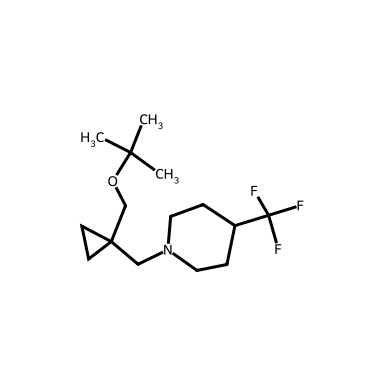 CC(C)(C)OCC1(CN2CCC(C(F)(F)F)CC2)CC1